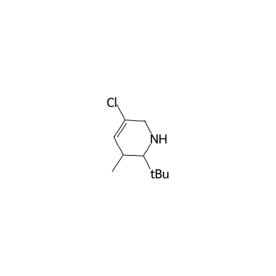 CC1C=C(Cl)CNC1C(C)(C)C